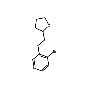 Brc1ccncc1CCC1CCCO1